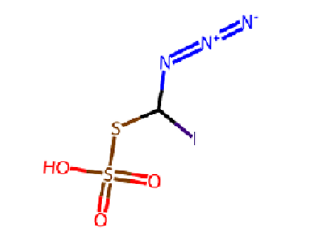 [N-]=[N+]=NC(I)SS(=O)(=O)O